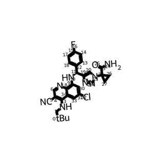 CC(C)(C)CNc1c(C#N)cnc2c(N[C@@H](c3ccc(F)cc3)c3cn(C4(C(N)=O)CC4)nn3)cc(Cl)cc12